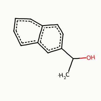 [CH2]C(O)c1ccc2ccccc2c1